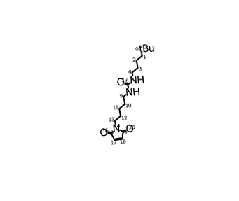 CC(C)(C)CCCCNC(=O)NCCCCCN1C(=O)C=CC1=O